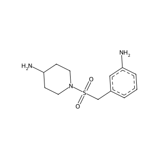 Nc1cccc(CS(=O)(=O)N2CCC(N)CC2)c1